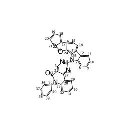 O=c1c2cnc(-n3c4ccccc4c4ccc5c6ccccc6oc5c43)nc2c2ccccc2n1-c1ccccc1